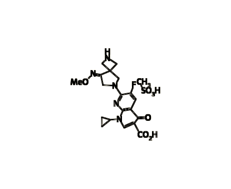 CON=C1CN(c2nc3c(cc2F)c(=O)c(C(=O)O)cn3C2CC2)CC12CNC2.CS(=O)(=O)O